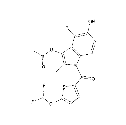 CC(=O)Oc1c(C)n(C(=O)c2ccc(OC(F)F)s2)c2ccc(O)c(F)c12